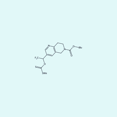 CSC(=S)OC(c1cnc2c(c1)CN(C(=O)OC(C)(C)C)CC2)C(F)(F)F